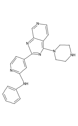 c1ccc(Nc2cc(-c3nc(N4CCNCC4)c4ccncc4n3)ccn2)cc1